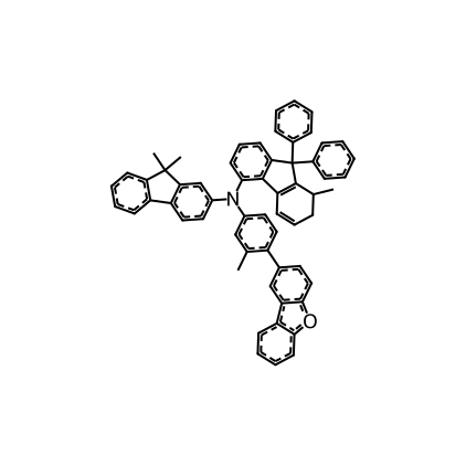 Cc1cc(N(c2ccc3c(c2)C(C)(C)c2ccccc2-3)c2cccc3c2C2=C(C(C)CC=C2)C3(c2ccccc2)c2ccccc2)ccc1-c1ccc2oc3ccccc3c2c1